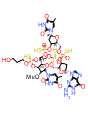 COC1C(OP(=O)(S)OCCCO)[C@@H](COP(=O)(S)OC2C[C@H](n3cc(C)c(=O)[nH]c3=O)O[C@@H]2COP(=O)(S)OC2C[C@H](n3cnc4c(=O)[nH]c(N)nc43)O[C@@H]2COP(=O)(S)OC(C)C)O[C@H]1n1cc(C)c(=O)[nH]c1=O